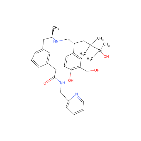 C[C@H](Cc1cccc(CC(=O)NCc2ccccn2)c1)NC[C@H](CC(C)(C)[Si](C)(C)O)c1ccc(O)c(CO)c1